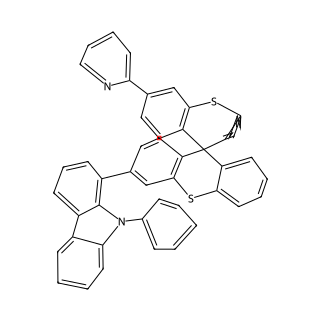 c1ccc(-n2c3ccccc3c3cccc(-c4ccc5c(c4)Sc4ccccc4C54c5ccccc5Sc5cc(-c6ccccn6)ccc54)c32)cc1